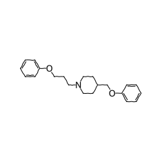 c1ccc(OCCCN2CCC(COc3ccccc3)CC2)cc1